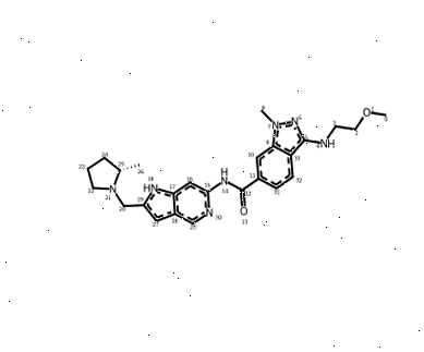 COCCNc1nn(C)c2cc(C(=O)Nc3cc4[nH]c(CN5CCC[C@@H]5C)cc4cn3)ccc12